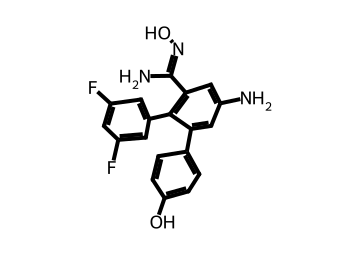 N/C(=N\O)c1cc(N)cc(-c2ccc(O)cc2)c1-c1cc(F)cc(F)c1